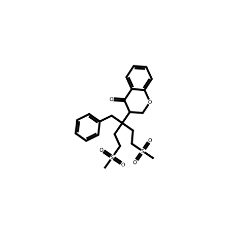 CS(=O)(=O)CCC(CCS(C)(=O)=O)(Cc1ccccc1)C1COc2ccccc2C1=O